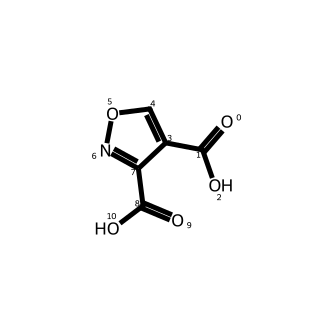 O=C(O)c1conc1C(=O)O